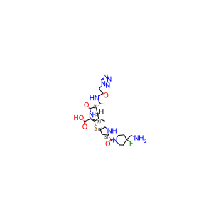 CC(NC(=O)Cn1cnnn1)[C@H]1C(=O)N2C(C(=O)O)=C(S[C@@H]3CN[C@H](C(=O)N4CCC(F)(CN)CC4)C3)[C@H](C)[C@H]12